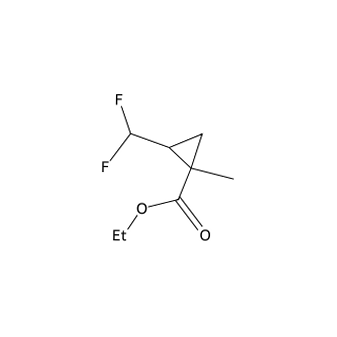 CCOC(=O)C1(C)CC1C(F)F